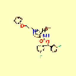 O=C(N[C@H]1C[N+]2(CCCOc3ccccc3)CCC1CC2)OC(c1cccc(F)c1)c1cccc(F)c1.[Br-]